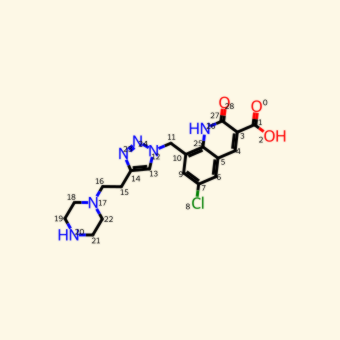 O=C(O)c1cc2cc(Cl)cc(Cn3cc(CCN4CCNCC4)nn3)c2[nH]c1=O